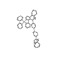 c1ccc(C2(c3ccccc3)c3ccccc3-c3c2ccc2c3c(-c3ccc(-c4ccc(-c5cn6ccccc6n5)cc4)cc3)nc3ccccc32)cc1